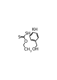 CCOC(=S)S.OCc1ccccc1.[KH]